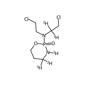 [2H]N1C([2H])([2H])CCOP1(=O)N(CCCl)C([2H])([2H])CCl